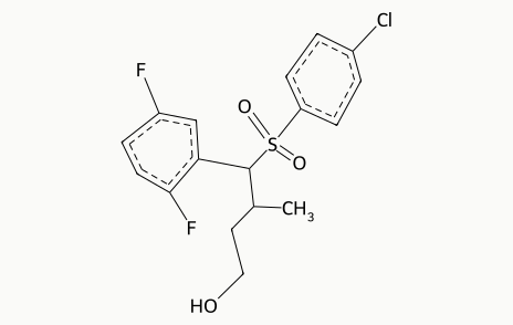 CC(CCO)C(c1cc(F)ccc1F)S(=O)(=O)c1ccc(Cl)cc1